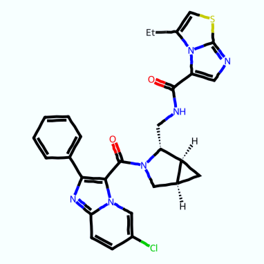 CCc1csc2ncc(C(=O)NC[C@@H]3[C@H]4C[C@H]4CN3C(=O)c3c(-c4ccccc4)nc4ccc(Cl)cn34)n12